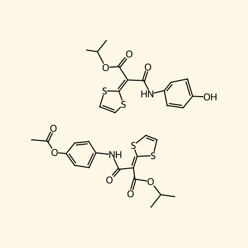 CC(=O)Oc1ccc(NC(=O)C(C(=O)OC(C)C)=C2SC=CS2)cc1.CC(C)OC(=O)C(C(=O)Nc1ccc(O)cc1)=C1SC=CS1